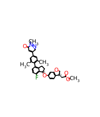 COC(=O)C[C@@H]1COc2cc(O[C@@H]3CCc4c(-c5c(C)cc(-c6cnn(C)c(=O)c6)cc5C)ccc(F)c43)ccc21